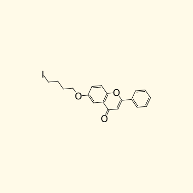 O=c1cc(-c2ccccc2)oc2ccc(OCCCCI)cc12